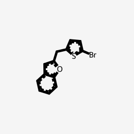 Brc1ccc(Cc2cc3ccccc3o2)s1